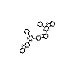 c1ccc(-c2nc(-c3ccc4c(c3)sc3ccccc34)nc(-c3ccc4c(c3)sc3c(-c5nc(-c6ccccc6)c6oc7ccccc7c6n5)cccc34)n2)cc1